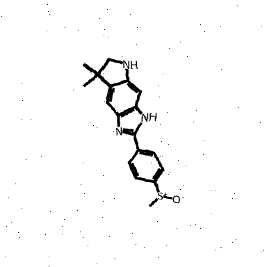 C[S+]([O-])c1ccc(-c2nc3cc4c(cc3[nH]2)NCC4(C)C)cc1